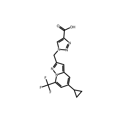 O=C(O)c1cn(Cc2cc3cc(C4CC4)cc(C(F)(F)F)n3n2)nn1